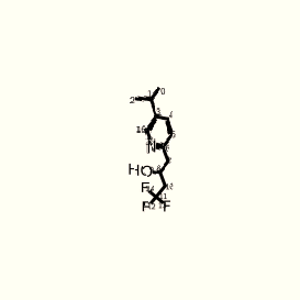 CC(C)c1ccc(CC(O)CC(F)(F)F)nc1